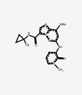 CNc1cc(Nc2cccn(C)c2=O)nn2c(C(=O)NC3(C#N)CC3)cnc12